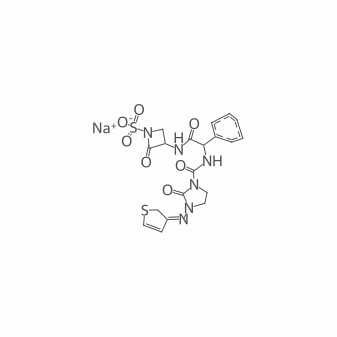 O=C(NC1CN(S(=O)(=O)[O-])C1=O)C(NC(=O)N1CCN(N=C2C=CSC2)C1=O)c1ccccc1.[Na+]